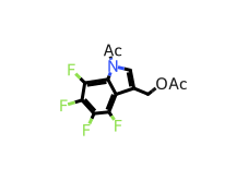 CC(=O)OCc1cn(C(C)=O)c2c(F)c(F)c(F)c(F)c12